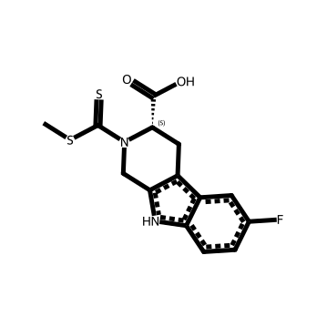 CSC(=S)N1Cc2[nH]c3ccc(F)cc3c2C[C@H]1C(=O)O